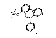 Cc1cccc(O[Si](C)(C)C)c1N=C(c1ccccc1)c1cnccn1